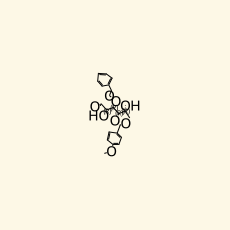 COc1ccc(C2OC[C@@H](O)[C@H]([C@H](OOCc3ccccc3)[C@@H](O)C=O)O2)cc1